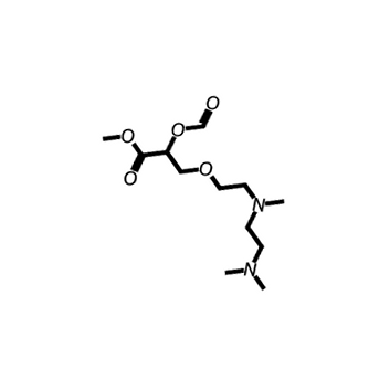 COC(=O)C(COCCN(C)CCN(C)C)OC=O